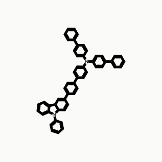 C1=CC2C(C=C1c1ccc(-c3ccc(N(c4ccc(-c5ccccc5)cc4)c4ccc(-c5ccccc5)cc4)cc3)cc1)c1ccccc1N2c1ccccc1